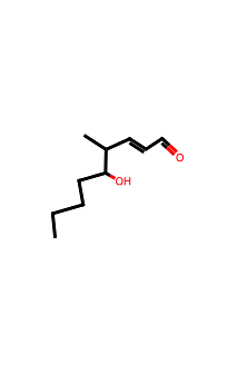 CCCCC(O)C(C)/C=C/C=O